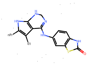 CCCc1[nH]c2c(c1CC)C(Nc1ccc3[nH]c(=O)sc3c1)=NCN2